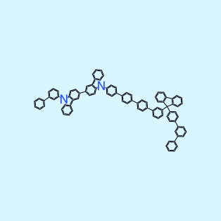 c1ccc(-c2cccc(-c3ccc(C4(c5cccc(-c6ccc(-c7ccc(-c8ccc(-n9c%10ccccc%10c%10cc(-c%11ccc%12c(c%11)c%11ccccc%11n%12-c%11cccc(-c%12ccccc%12)c%11)ccc%109)cc8)cc7)cc6)c5)c5ccccc5-c5ccccc54)cc3)c2)cc1